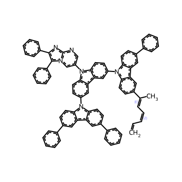 C=C/C=C\C=C(/C)c1ccc2c(c1)c1cc(-c3ccccc3)ccc1n2-c1ccc2c(c1)c1cc(-n3c4ccc(-c5ccccc5)cc4c4cc(-c5ccccc5)ccc43)ccc1n2-c1cnc2nc(-c3ccccc3)c(-c3ccccc3)n2c1